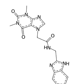 Cn1c(=O)c2c(ncn2CC(=O)NCc2nc3ccccc3[nH]2)n(C)c1=O